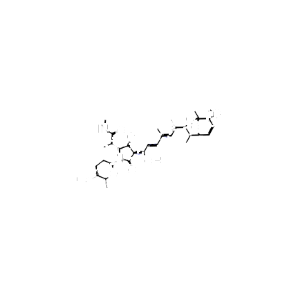 CNC(=O)C(C)[C@H]1C(=O)\C(=C(O)/C=C/C(C)=C/[C@@H](C)C2OC3(C)OC(C=C[C@@]34CO4)C2C)C(=O)N1[C@@H]1CC[C@H](O)[C@H](C)O1